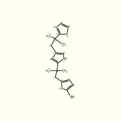 CC(C)(C)c1ccc(CC(C)(C)c2cc(CC(C)(C)c3ncco3)c[nH]2)o1